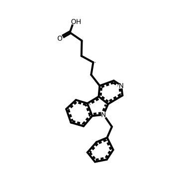 O=C(O)CC[CH]Cc1cncc2c1c1ccccc1n2Cc1ccccc1